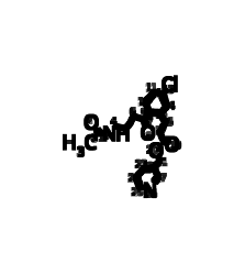 CC(=O)NCCCC(=O)c1ccc(Cl)cc1CCC(=O)OCc1cccnc1